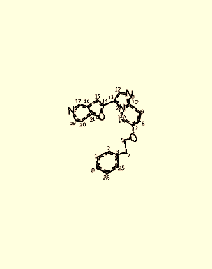 c1ccc(CCOc2ccc3ncc(-c4cc5cnccc5o4)n3n2)cc1